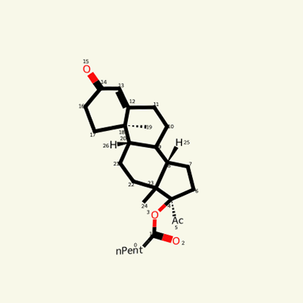 CCCCCC(=O)O[C@]1(C(C)=O)CC[C@H]2C3CCC4=CC(=O)CC[C@]4(C)[C@H]3CCC21C